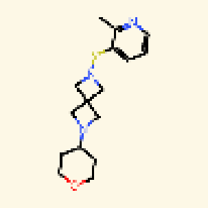 Cc1ncccc1SN1CC2(C1)CN(C1CCOCC1)C2